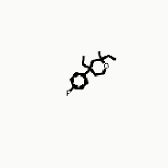 [CH2]CC1(c2ccc(F)cc2)CCOC(C)(CC)C1